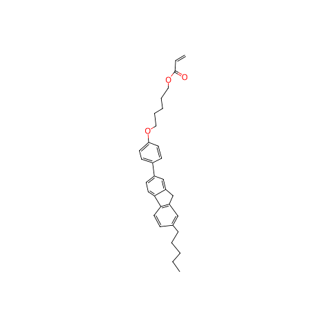 C=CC(=O)OCCCCCOc1ccc(-c2ccc3c(c2)Cc2cc(CCCCC)ccc2-3)cc1